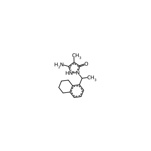 Cc1c(N)[nH]n(C(C)c2cccc3c2CCCC3)c1=O